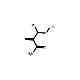 C=C(C(N)=O)C(O)OCCCC